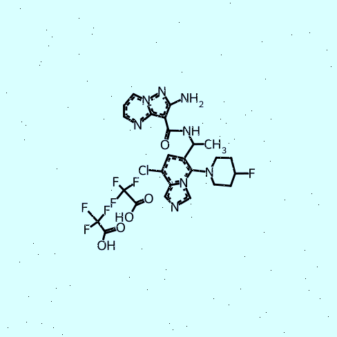 CC(NC(=O)c1c(N)nn2cccnc12)c1cc(Cl)c2cncn2c1N1CCC(F)CC1.O=C(O)C(F)(F)F.O=C(O)C(F)(F)F